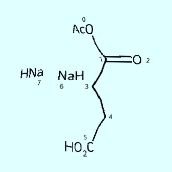 CC(=O)OC(=O)CCC(=O)O.[NaH].[NaH]